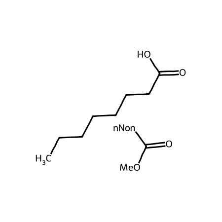 CCCCCCCC(=O)O.CCCCCCCCCC(=O)OC